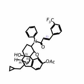 CC(=O)Oc1ccc2c3c1OC1C(N(C(=O)/C=C/c4cccc(C(F)(F)F)c4)c4ccccc4)CC[C@@]4(O)[C@@H](C2)N(CC2CC2)CC[C@]314